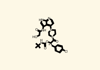 CC(C)(C)NC(=O)O[C@H](Cc1ccc(Cl)cc1)C(=O)N1CCN(c2ccnc3[nH]cc(NC(=O)CO)c23)CC1